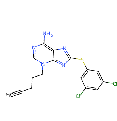 C#CCCCn1cnc(N)c2nc(Sc3cc(Cl)cc(Cl)c3)nc1-2